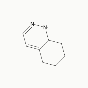 C1=N[N]C2CCCCC2=C1